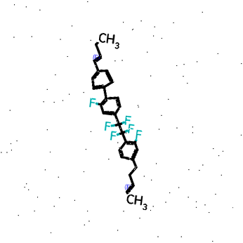 C/C=C/CCc1ccc(C(F)(F)C(F)(F)c2ccc(-c3ccc(/C=C/CC)cc3)c(F)c2)c(F)c1